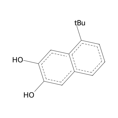 CC(C)(C)c1cccc2cc(O)c(O)cc12